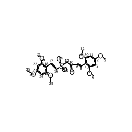 COc1cc(OC)c(C=CC(=O)CS(=O)(=O)/C=C/c2c(OC)cc(OC)cc2OC)c(OC)c1